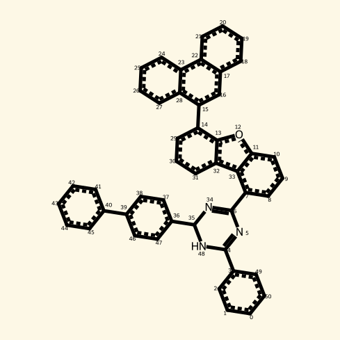 c1ccc(C2=NC(c3cccc4oc5c(-c6cc7ccccc7c7ccccc67)cccc5c34)=NC(c3ccc(-c4ccccc4)cc3)N2)cc1